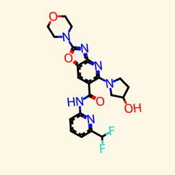 O=C(Nc1cccc(C(F)F)n1)c1cc2oc(N3CCOCC3)nc2nc1N1CCC(O)C1